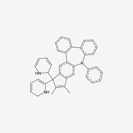 CC1=C(C)C(C2=CC=CCN2)(C2C=CC=CN2)c2cc3c(cc21)N(c1ccccc1)c1ccccc1-c1ccccc1-3